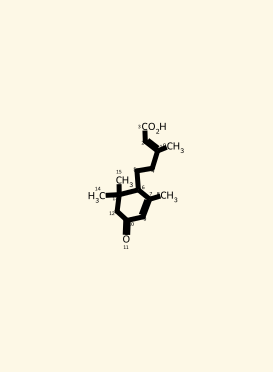 CC(=CC(=O)O)CCC1C(C)=CC(=O)CC1(C)C